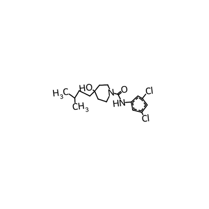 CC(C)CCC1(O)CCN(C(=O)Nc2cc(Cl)cc(Cl)c2)CC1